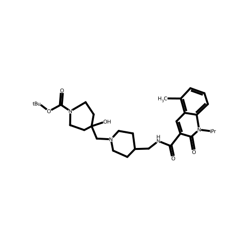 Cc1cccc2c1cc(C(=O)NCC1CCN(CC3(O)CCN(C(=O)OC(C)(C)C)CC3)CC1)c(=O)n2C(C)C